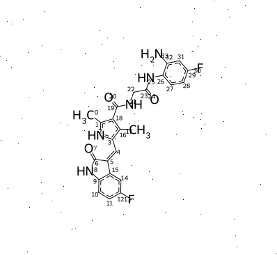 Cc1[nH]c(/C=C2\C(=O)Nc3ccc(F)cc32)c(C)c1C(=O)NCC(=O)Nc1ccc(F)cc1N